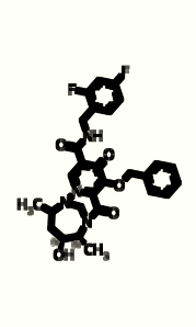 CC1C[C@H](O)[C@H](C)N2CN1n1cc(C(=O)NCc3ccc(F)cc3F)c(=O)c(OCc3ccccc3)c1C2=O